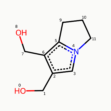 OCc1cn2c(c1CO)CCC2